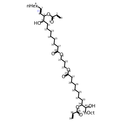 C=CC(=O)OC(/C=C/CCCCCC)C(O)CCCCCCCC(=O)OCCCOC(=O)CCCCCCCC(OC(=O)C=C)C(O)CCCCCCCC